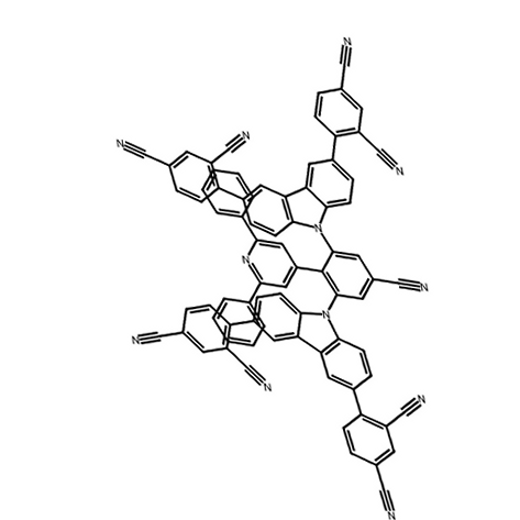 N#Cc1ccc(-c2ccc3c(c2)c2cc(-c4ccc(C#N)cc4C#N)ccc2n3-c2cc(C#N)cc(-n3c4ccc(-c5ccc(C#N)cc5C#N)cc4c4cc(-c5ccc(C#N)cc5C#N)ccc43)c2-c2cc(-c3ccccc3)nc(-c3ccccc3)c2)c(C#N)c1